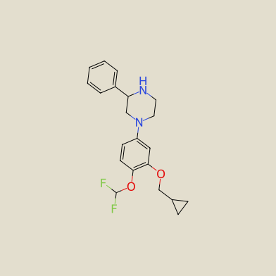 FC(F)Oc1ccc(N2CCNC(c3ccccc3)C2)cc1OCC1CC1